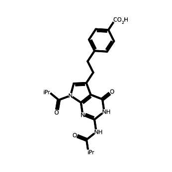 CC(C)C(=O)Nc1nc2c(c(CCc3ccc(C(=O)O)cc3)cn2C(=O)C(C)C)c(=O)[nH]1